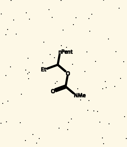 [CH2]CCCCC(CC)OC(=O)NC